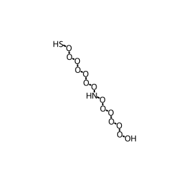 OOOOOOONOOOOOOOS